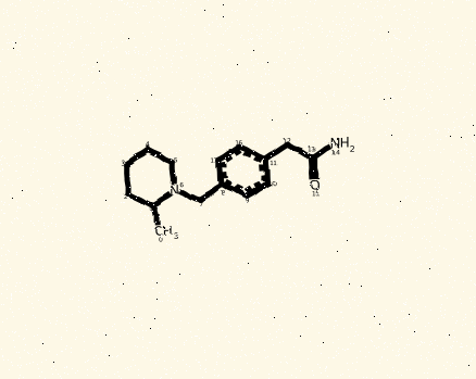 CC1CCCCN1Cc1ccc(CC(N)=O)cc1